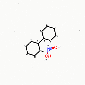 C1CCC(C2CCCCC2)CC1.O=NO